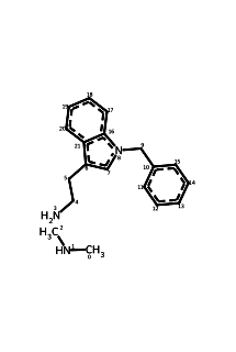 CNC.NCCc1cn(Cc2ccccc2)c2ccccc12